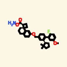 COc1ccc(F)c(-c2ccc(COc3ccc4c(c3)[C@@]3(CCC4)CC[C@@H]3C(=O)ON)cc2[C@@H]2CCCC2(C)C)c1